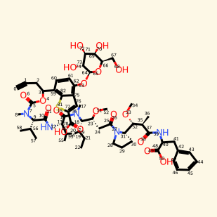 C#CCC(OC(=O)N(C)[C@H](C(=O)N[C@H](C(=O)N(C)[C@@H](C(C)CC)[C@@H](CC(=O)N1CCC[C@H]1[C@H](OC)[C@@H](C)C(=O)NC(Cc1ccccc1)C(=O)O)OC)C(C)C)C(C)C)c1ccc(O[C@@H]2O[C@H](CO)[C@H](O)[C@H](O)[C@H]2O)c2cc(C(=O)O)sc12